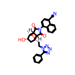 C[C@]12O[C@](CCn3nnnc3-c3ccccc3)(C[C@@H]1O)[C@H]1C(=O)N(c3ccc(C#N)c4ccccc34)C(=O)[C@H]12